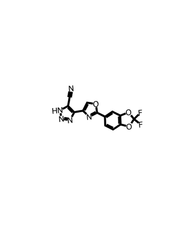 N#Cc1[nH]nnc1-c1coc(-c2ccc3c(c2)OC(F)(F)O3)n1